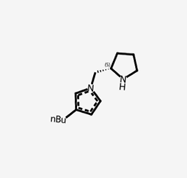 CCCCc1ccn(C[C@@H]2CCCN2)c1